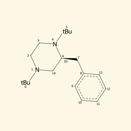 CC(C)(C)N1CCN(C(C)(C)C)[C@@H](Cc2ccccc2)C1